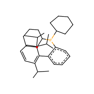 CC(C)C1=C(c2ccccc2P(C2CCCCC2)C2CCCCC2)C(C(C)C)(C(C)C)CC=C1